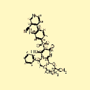 COC[C@@H](c1ccccc1)n1c(COC(C)C)nc(=O)c(S(=O)(=O)c2ccc(-c3ccncc3C#N)c(F)c2)c1O